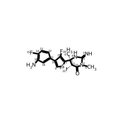 CN1C(=N)N[C@](C)(c2scc(-c3ccc(F)c(N)c3)c2F)[C@@H](I)C1=O